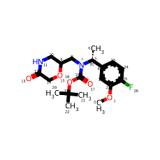 COc1cc([C@@H](C)N(CC2CNC(=O)CO2)C(=O)OC(C)(C)C)ccc1F